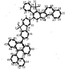 CC1(C)c2ccc(-c3cc4sc5c6ccccc6ccc5c4c4c3-c3ccccc3C4(C)C)cc2-c2ccc(-c3c4ccccc4c(-c4cccc5ccccc45)c4ccccc34)cc21